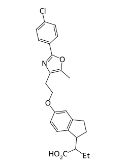 CCC(C(=O)O)C1CCc2cc(OCCc3nc(-c4ccc(Cl)cc4)oc3C)ccc21